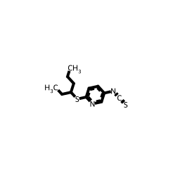 CCCC(CC)Sc1ccc(N=C=S)cn1